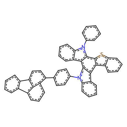 c1ccc(-n2c3ccccc3c3c2c2sc4ccccc4c2c2c4ccccc4n(-c4ccc(-c5ccc6c7c(cccc57)-c5ccccc5-6)cc4)c23)cc1